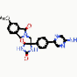 COc1ccc2c(c1)C(=O)N(C[C@@]1(c3ccc(-c4cnc(N)cn4)cc3)NC(=O)NC1=O)C2